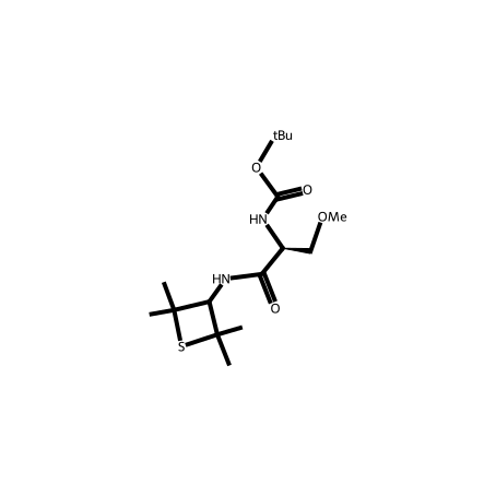 COC[C@H](NC(=O)OC(C)(C)C)C(=O)NC1C(C)(C)SC1(C)C